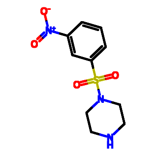 O=[N+]([O-])c1cccc(S(=O)(=O)N2CCNCC2)c1